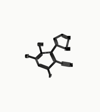 N#Cc1c(F)cc(Cl)c(O)c1-c1ccn[nH]1